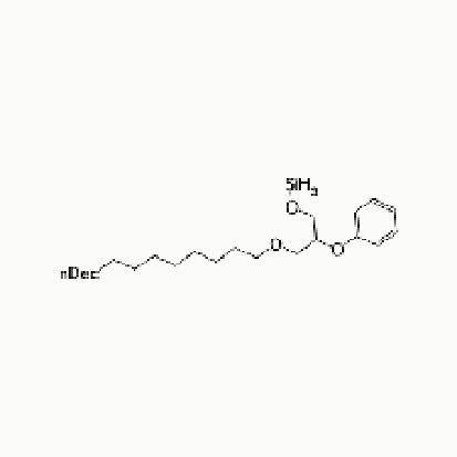 CCCCCCCCCCCCCCCCCCOCC(CO[SiH3])Oc1ccccc1